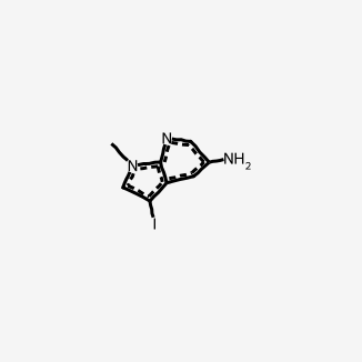 Cn1cc(I)c2cc(N)cnc21